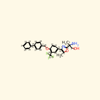 Cc1oc(C(C)(N)CO)nc1-c1ccc(OCc2ccc(-c3ccccc3)cc2)c(C(F)(F)F)c1